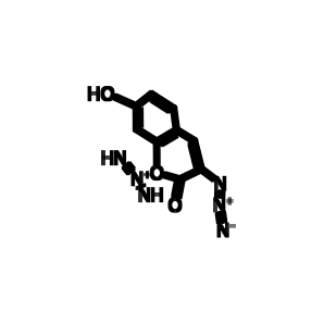 N=[N+]=N.[N-]=[N+]=Nc1cc2ccc(O)cc2oc1=O